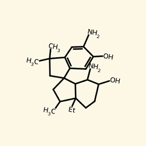 CCC12CCC(O)C(N)C1C1(CC2C)CC(C)(C)c2cc(N)c(O)cc21